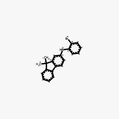 CC1(C)c2ccccc2-c2ccc(Nc3ccccc3Br)cc21